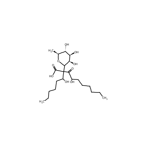 CCCCCCC(O)C(=O)C(C(=O)O)(C(O)CCCCC)C1O[C@@H](C)[C@H](O)[C@@H](O)[C@H]1O